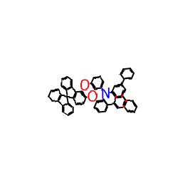 C1=CC2=C(CC1)c1ccccc1C21c2ccccc2-c2c1ccc1c2Oc2cccc(N(c3cc(-c4ccccc4)cc(-c4ccccc4)c3)c3ccccc3-c3ccccc3)c2O1